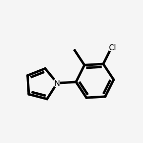 Cc1c(Cl)cccc1-n1cccc1